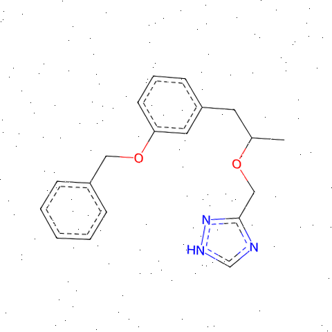 CC(Cc1cccc(OCc2ccccc2)c1)OCc1nc[nH]n1